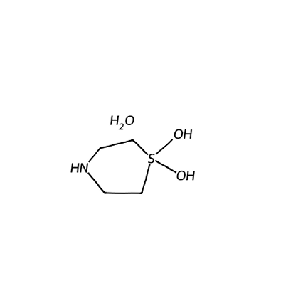 O.OS1(O)CCNCC1